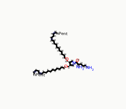 CCCCC/C=C\C/C=C\CCCCCCCCCCOC[C@@H]1CN(C(=O)[C@@H](N)CCCN)C[C@H]1COCCCCCCCCCC/C=C\C/C=C\CCCCC